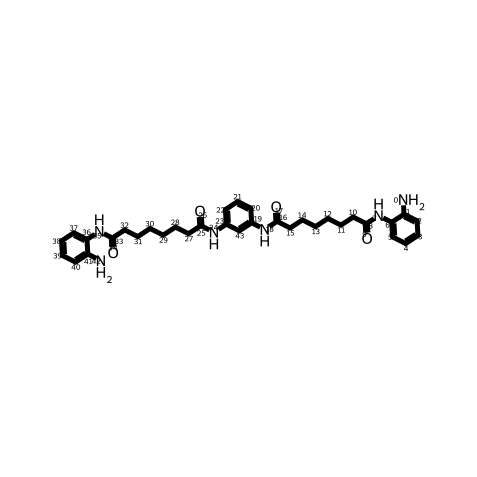 Nc1ccccc1NC(=O)CCCCCCC(=O)Nc1cccc(NC(=O)CCCCCCC(=O)Nc2ccccc2N)c1